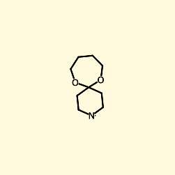 C1CCOC2(CC[N]CC2)OC1